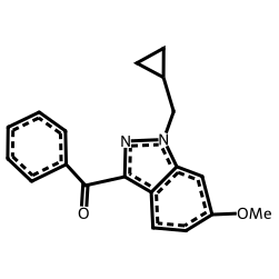 COc1ccc2c(C(=O)c3ccccc3)nn(CC3CC3)c2c1